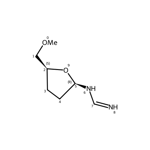 COC[C@@H]1CC[C@H](NC=N)O1